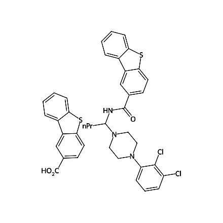 CCCC(NC(=O)c1ccc2sc3ccccc3c2c1)N1CCN(c2cccc(Cl)c2Cl)CC1.O=C(O)c1ccc2sc3ccccc3c2c1